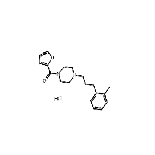 Cc1ccccc1CCCN1CCN(C(=O)c2ccco2)CC1.Cl